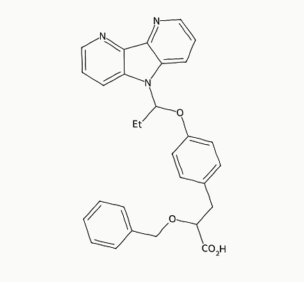 CCC(Oc1ccc(CC(OCc2ccccc2)C(=O)O)cc1)n1c2cccnc2c2ncccc21